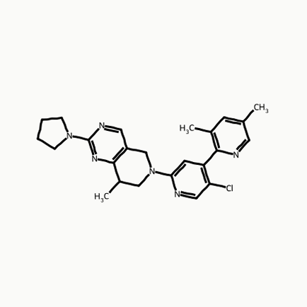 Cc1cnc(-c2cc(N3Cc4cnc(N5CCCC5)nc4C(C)C3)ncc2Cl)c(C)c1